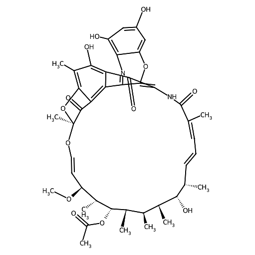 CO[C@H]1/C=C/O[C@@]2(C)Oc3c(C)c(O)c4c(=O)c(c5oc6cc(O)cc(O)c6nc-5c4c3C2=O)NC(=O)/C(C)=C\C=C\[C@H](C)[C@H](O)[C@@H](C)[C@@H](C)[C@@H](C)[C@H](OC(C)=O)[C@@H]1C